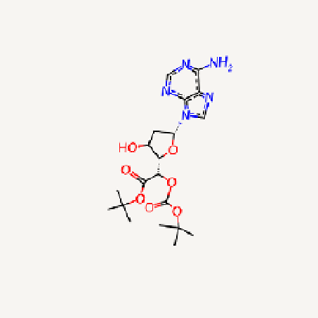 CC(C)(C)OC(=O)OC(C(=O)OC(C)(C)C)[C@H]1O[C@@H](n2cnc3c(N)ncnc32)C[C@@H]1O